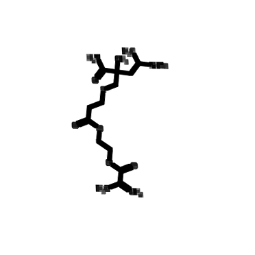 C=C(C)C(=O)OCCOC(=O)CCSCC(C)(CC(C)NC(C)=O)C(N)=O